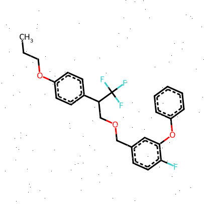 CCCOc1ccc(C(COCc2ccc(F)c(Oc3ccccc3)c2)C(F)(F)F)cc1